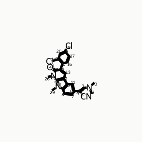 CN(C)C=C(C#N)c1ccc2c(c1)c1cc(-c3ccc(Cl)cc3Cl)c(=O)n(C)c1n2C